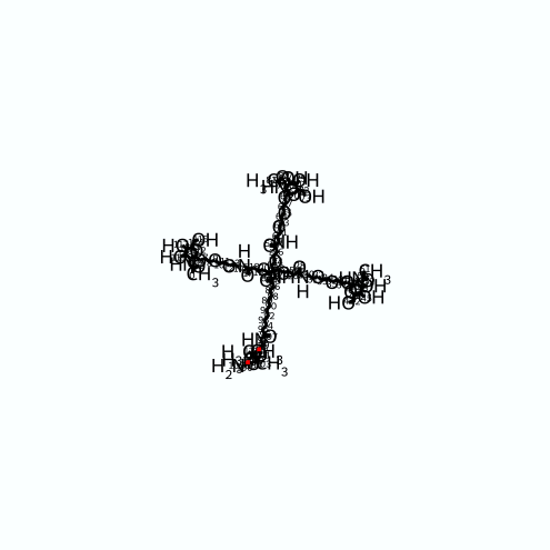 CC(=O)NC1C(OCCOCCOCCNC(=O)CCOCC(COCCC(=O)NCCOCCOCCOC2OC(CO)C(O)C(O)C2NC(C)=O)(COCCC(=O)NCCOCCOCCOC2OC(CO)C(O)C(O)C2NC(C)=O)NC(=O)CCCCCCCCCCC(=O)NCCO[C@@](C)(OCCN)C(C)(C)C)OC(CO)C(O)C1O